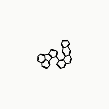 c1cc2c(c(-c3cccc4ccc5cc6ccccc6cc5c34)c1)-c1cccc3cccc-2c13